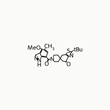 COc1c(C)cc(C(=O)N2CCC3(CC2)CC(=O)c2nc(C(C)(C)C)sc2C3)c2[nH]ncc12